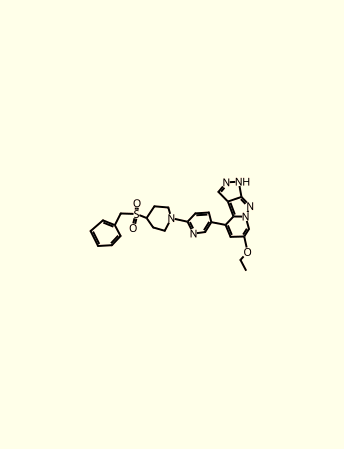 CCOc1cc(-c2ccc(N3CCC(S(=O)(=O)Cc4ccccc4)CC3)nc2)c2c3cn[nH]c3nn2c1